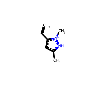 C=Cc1cc(C)[nH][n+]1C